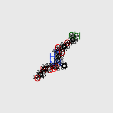 CC[C@@H](c1ccccc1)N1Cc2cc3c(cc2CC1C(=O)N[C@@H](Cc1ccc(-c2ccc(OC)cc2)cc1)C(=O)O)N(C)C(=O)C(c1ccc(OCc2ccc(Cl)c(Cl)c2)cc1)O3